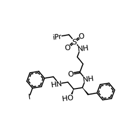 CC(C)CS(=O)(=O)NCCC(=O)N[C@@H](Cc1ccccc1)[C@@H](O)CNCc1cccc(I)c1